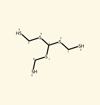 SCSC(SCS)SCS